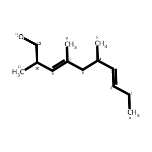 CC/C=C/C(C)C/C(C)=C/C(C)C[O]